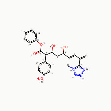 C=C(C=CC(O)CC(O)C(C(=O)Oc1ccccc1)c1ccccc1)c1nnnn1C.O